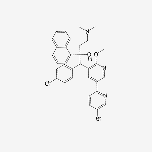 COc1ncc(-c2ccc(Br)cn2)cc1C(c1ccc(Cl)cc1)C(O)(CCN(C)C)c1cccc2ccccc12